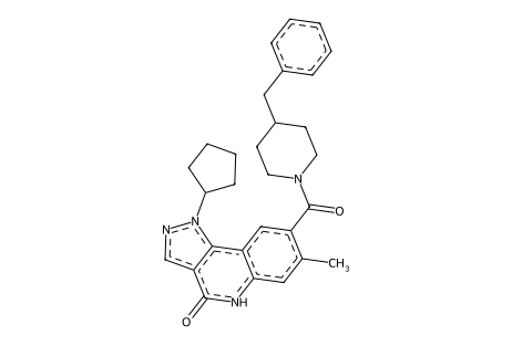 Cc1cc2[nH]c(=O)c3cnn(C4CCCC4)c3c2cc1C(=O)N1CCC(Cc2ccccc2)CC1